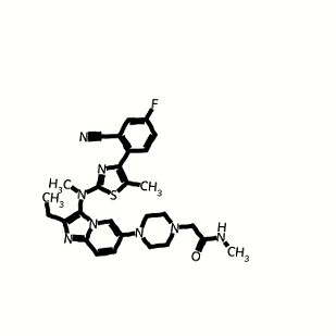 CCc1nc2ccc(N3CCN(CC(=O)NC)CC3)cn2c1N(C)c1nc(-c2ccc(F)cc2C#N)c(C)s1